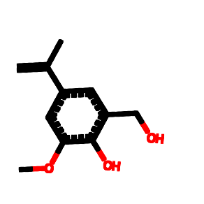 C=C(C)c1cc(CO)c(O)c(OC)c1